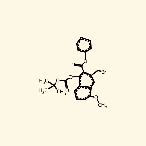 COc1cccc2c(OC(=O)OC(C)(C)C)c(C(=O)Oc3ccccc3)c(CBr)cc12